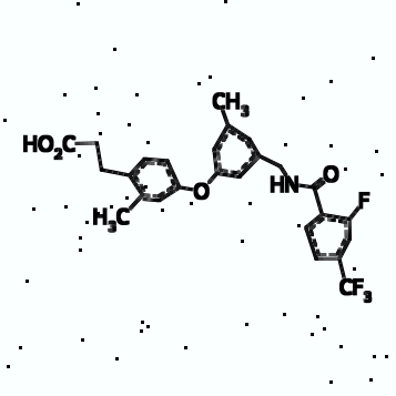 Cc1cc(CNC(=O)c2ccc(C(F)(F)F)cc2F)cc(Oc2ccc(CCC(=O)O)c(C)c2)c1